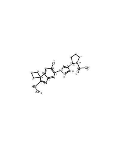 CNC1=Nc2cc(-n3cc([C@H]4CCCN4C(=O)O)nn3)c(Cl)cc2C12CCC2